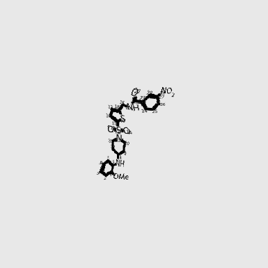 COc1ccccc1NC1CCN(S(=O)(=O)c2ccc(CNC(=O)c3cccc([N+](=O)[O-])c3)s2)CC1